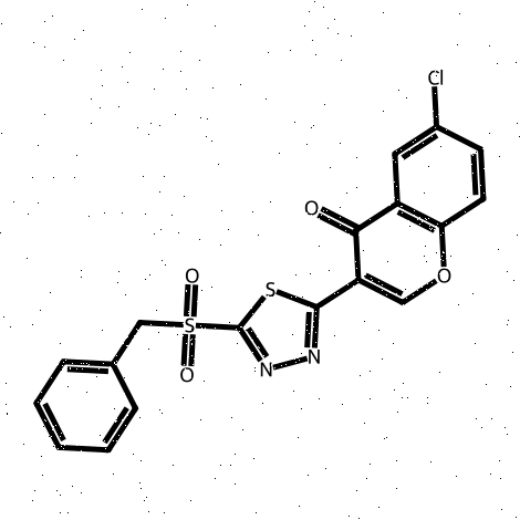 O=c1c(-c2nnc(S(=O)(=O)Cc3ccccc3)s2)coc2ccc(Cl)cc12